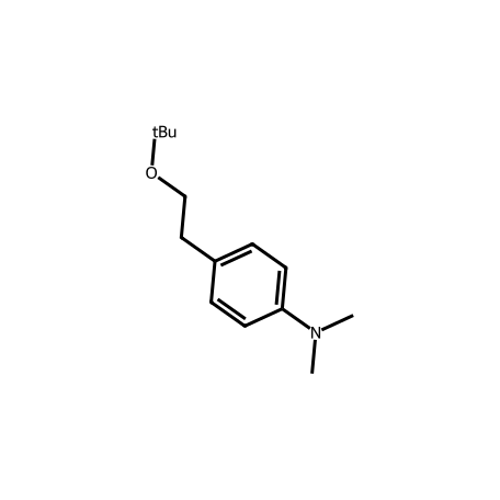 CN(C)c1ccc(CCOC(C)(C)C)cc1